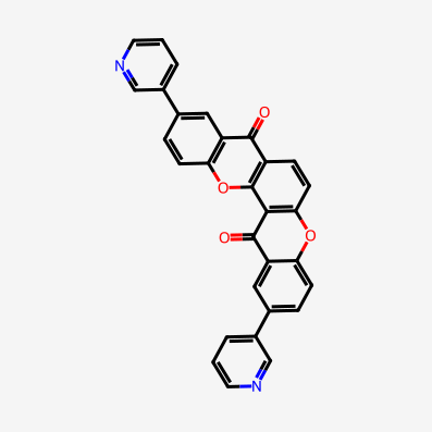 O=c1c2cc(-c3cccnc3)ccc2oc2c1ccc1oc3ccc(-c4cccnc4)cc3c(=O)c12